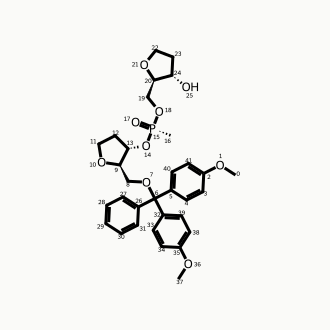 COc1ccc(C(OC[C@H]2OCC[C@@H]2O[P@@](C)(=O)OC[C@H]2OCC[C@@H]2O)(c2ccccc2)c2ccc(OC)cc2)cc1